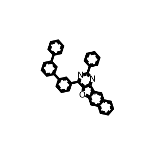 c1ccc(-c2cccc(-c3cccc(-c4nc(-c5ccccc5)nc5c4oc4cc6ccccc6cc45)c3)c2)cc1